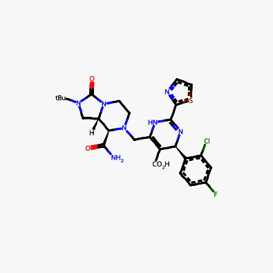 CC(C)(C)N1C[C@H]2[C@H](C(N)=O)N(CC3=C(C(=O)O)[C@H](c4ccc(F)cc4Cl)N=C(c4nccs4)N3)CCN2C1=O